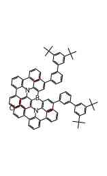 CC(C)(C)c1cc(-c2cccc(-c3ccc4c(c3)B3c5cc(-c6cccc(-c7cc(C(C)(C)C)cc(C(C)(C)C)c7)c6)ccc5N(c5c(-c6ccccc6)cccc5-c5ccccc5)c5cc(Cl)cc(c53)N4c3c(-c4ccccc4)cccc3-c3ccccc3)c2)cc(C(C)(C)C)c1